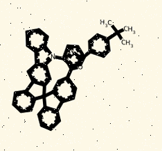 CC(C)(C)c1ccc(-c2nnc(-c3ccc4c(c3)C3(c5ccccc5-4)c4ccccc4-c4cc5c6ccccc6n(-c6ccccc6)c5cc43)o2)cc1